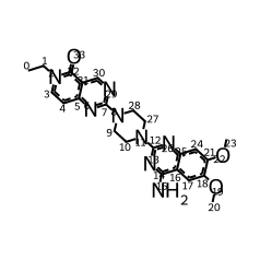 CCn1ccc2nc(N3CCN(c4nc(N)c5cc(OC)c(OC)cc5n4)CC3)ncc2c1=O